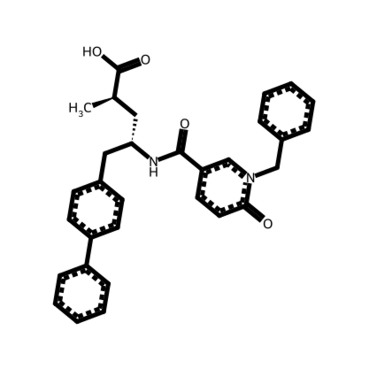 C[C@H](C[C@@H](Cc1ccc(-c2ccccc2)cc1)NC(=O)c1ccc(=O)n(Cc2ccccc2)c1)C(=O)O